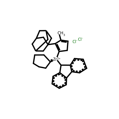 CC1=CC[C]([Zr+2](=[C]2CCCCC2)[CH]2c3ccccc3-c3ccccc32)=C1C12CC3CC(CC(C3)C1)C2.[Cl-].[Cl-]